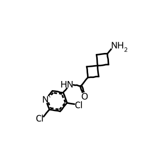 NC1CC2(C1)CC(C(=O)Nc1cnc(Cl)cc1Cl)C2